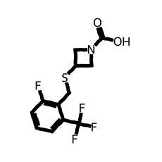 O=C(O)N1CC(SCc2c(F)cccc2C(F)(F)F)C1